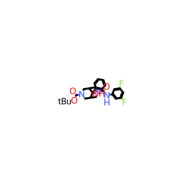 CC(C)(C)OC(=O)N1CC2CN(C(=O)Nc3cc(F)cc(F)c3)CC(C1)C2(O)c1ccccc1